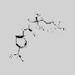 CC(C)(CCC[N+](C)(C)C)OC(=O)Oc1ccc([N+](=O)[O-])cc1